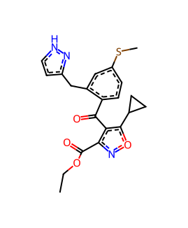 CCOC(=O)c1noc(C2CC2)c1C(=O)c1ccc(SC)cc1Cc1cc[nH]n1